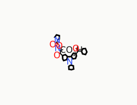 O=C(O)/C(=N\OC(=O)n1cccc1)C(=O)c1ccc2c(c1)c1cc(C(=O)c3ccccc3)ccc1n2-c1ccccc1